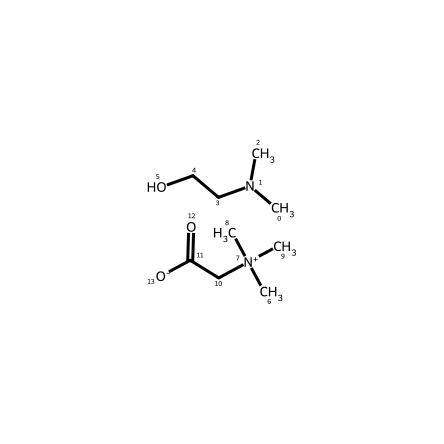 CN(C)CCO.C[N+](C)(C)CC(=O)[O-]